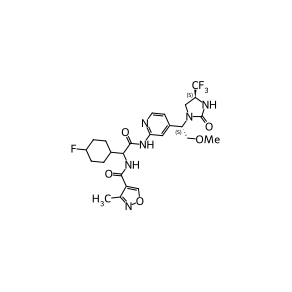 COC[C@H](c1ccnc(NC(=O)C(NC(=O)c2conc2C)C2CCC(F)CC2)c1)N1C[C@@H](C(F)(F)F)NC1=O